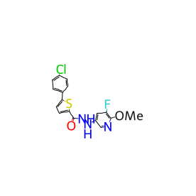 COc1ncc(NNC(=O)c2ccc(-c3ccc(Cl)cc3)s2)cc1F